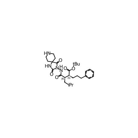 CC(C)C[C@@H](C(=O)NN1C(=O)NC2(CCNCC2)C1=O)[C@H](CCCc1ccccc1)C(=O)OC(C)(C)C